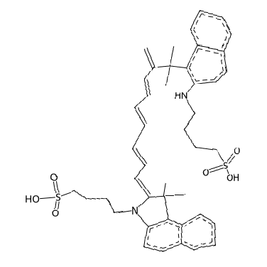 C=C(/C=C/C=C/C=C/C=C1/N(CCCCS(=O)(=O)O)c2ccc3ccccc3c2C1(C)C)C(C)(C)c1c(NCCCCS(=O)(=O)O)ccc2ccccc12